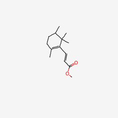 COC(=O)C=CC1=C(C)CCC(C)C1(C)C